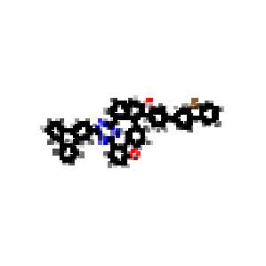 c1ccc(-c2nc(-c3ccc4c5ccccc5c5ccccc5c4c3)nc(-c3cccc4oc5ccc(-c6cccc7oc8cc(-c9ccc%10c(c9)sc9ccccc9%10)ccc8c67)cc5c34)n2)cc1